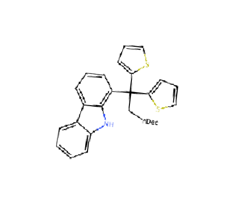 CCCCCCCCCCCC(c1cccs1)(c1cccs1)c1cccc2c1[nH]c1ccccc12